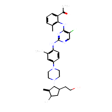 C=C1C(CC)CC(CCO)[C@H]1N1CCN(c2ccc(Nc3ncc(Cl)c(Nc4c(C)cccc4C(=O)NC)n3)c(OC)c2)CC1